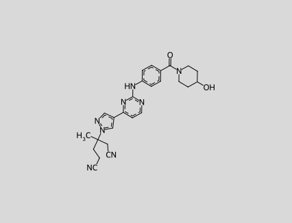 CC(CC#N)(CCC#N)n1cc(-c2ccnc(Nc3ccc(C(=O)N4CCC(O)CC4)cc3)n2)cn1